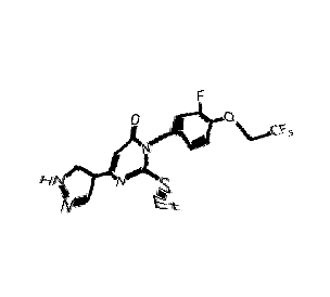 CCSc1nc(C2C=NNC2)cc(=O)n1-c1ccc(OCC(F)(F)F)c(F)c1